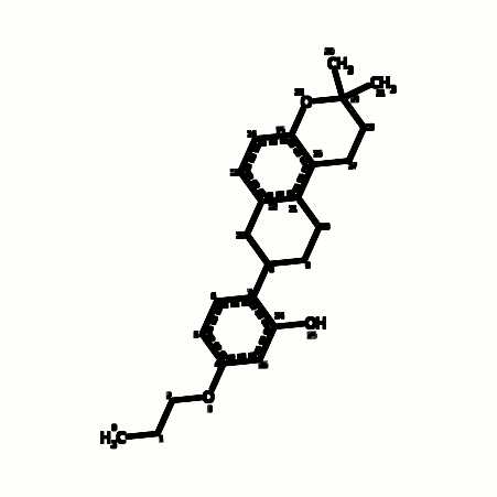 CCCOc1ccc(C2CCc3c(ccc4c3CCC(C)(C)O4)C2)c(O)c1